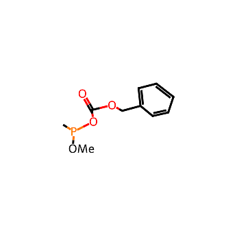 COP(C)OC(=O)OCc1ccccc1